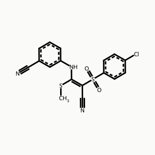 CSC(Nc1cccc(C#N)c1)=C(C#N)S(=O)(=O)c1ccc(Cl)cc1